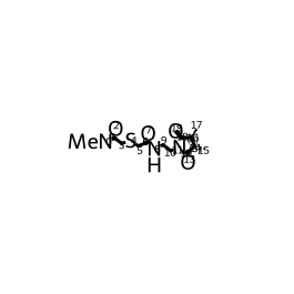 CNC(=O)CSCC(=O)NCCN1C(=O)[C@@H](C)[C@H](C)C1=O